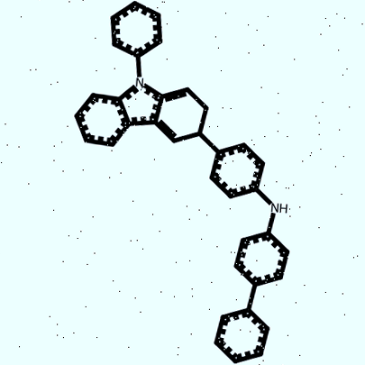 C1=c2c(n(-c3ccccc3)c3ccccc23)=CCC1c1ccc(Nc2ccc(-c3ccccc3)cc2)cc1